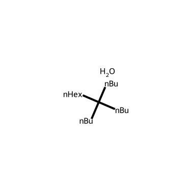 CCCCCCC(CCCC)(CCCC)CCCC.O